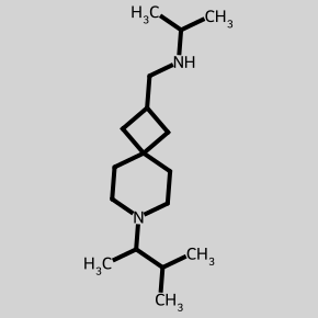 CC(C)NCC1CC2(CCN(C(C)C(C)C)CC2)C1